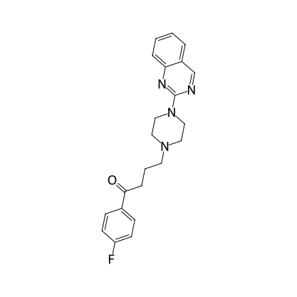 O=C(CCCN1CCN(c2ncc3ccccc3n2)CC1)c1ccc(F)cc1